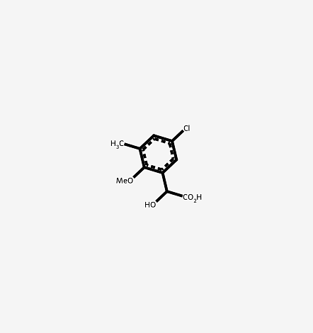 COc1c(C)cc(Cl)cc1C(O)C(=O)O